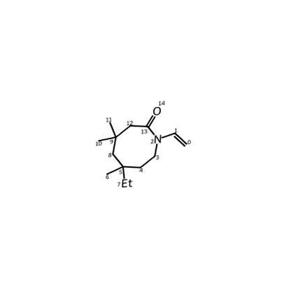 C=CN1CCC(C)(CC)CC(C)(C)CC1=O